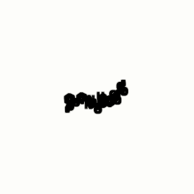 CCOC(=O)CCS(=O)(=O)c1ccc(CNC(=O)c2cnc(N3CCCC(Oc4ccccc4OCC)C3)nc2)c(OC)c1